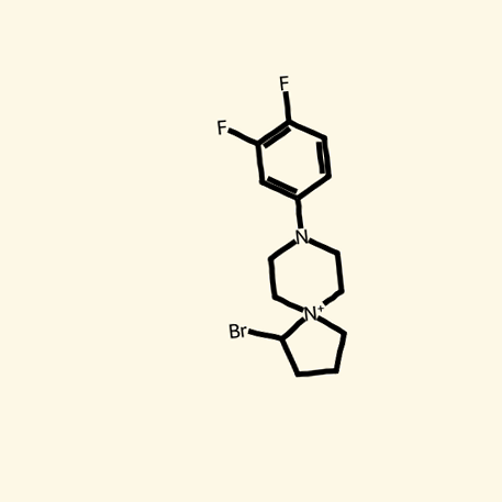 Fc1ccc(N2CC[N+]3(CCCC3Br)CC2)cc1F